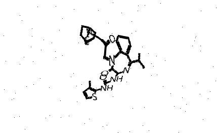 Cc1ccsc1NC(=O)NC1N=C(C(C)C)c2ccccc2N(CC(=O)N2CC3CCC(CC3)C2)C1=O